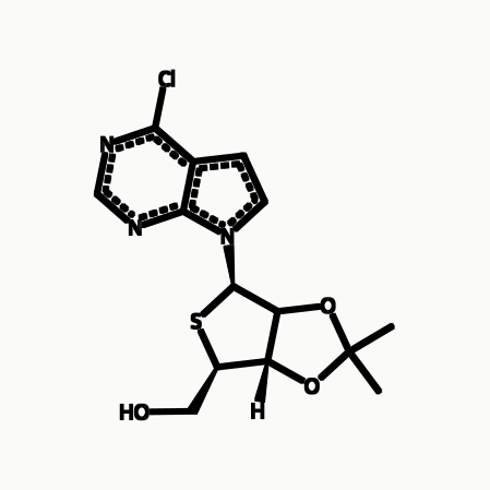 CC1(C)OC2[C@H](n3ccc4c(Cl)ncnc43)S[C@H](CO)[C@H]2O1